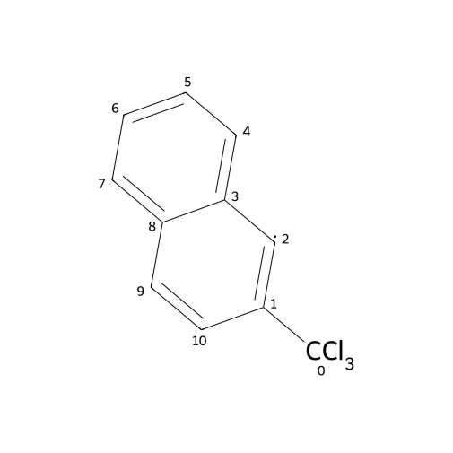 ClC(Cl)(Cl)c1[c]c2ccccc2cc1